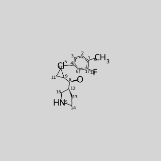 Cc1ccc(Cl)c(O[C@H](C2CC2)[C@H]2CCNC2)c1F